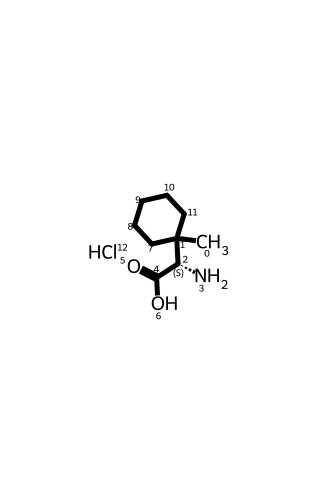 CC1([C@H](N)C(=O)O)CCCCC1.Cl